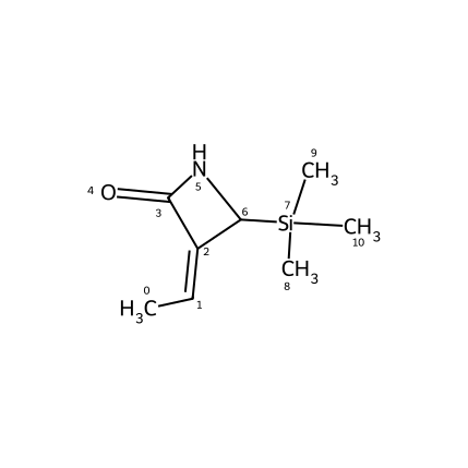 CC=C1C(=O)NC1[Si](C)(C)C